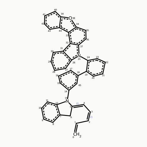 C=C/C=C\C=C1/Cc2ccccc2N1c1cccc(-c2ccccc2-n2c3ccccc3c3c4c(ccc32)oc2ccccc24)c1